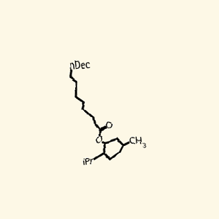 CCCCCCCCCCCCCCCCCC(=O)OC1CC(C)CCC1C(C)C